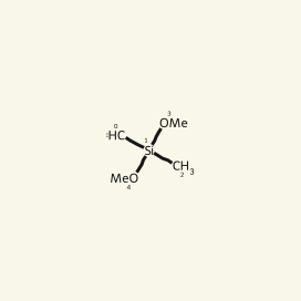 [CH][Si](C)(OC)OC